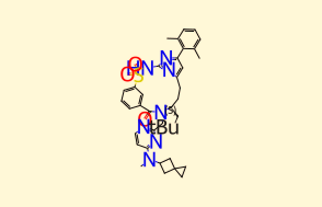 Cc1cccc(C)c1-c1cc2nc(n1)NS(=O)(=O)c1cccc(c1)C(=O)N(Cc1nccc(N(C)C3CC4(CC4)C3)n1)[C@H](CC(C)(C)C)CC2